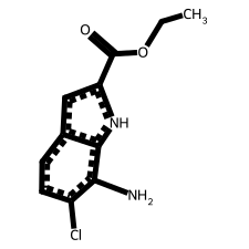 CCOC(=O)c1cc2ccc(Cl)c(N)c2[nH]1